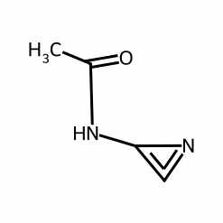 CC(=O)NC1=C=N1